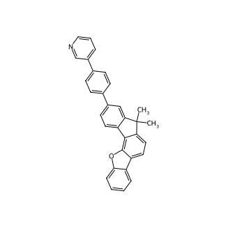 CC1(C)c2cc(-c3ccc(-c4cccnc4)cc3)ccc2-c2c1ccc1c2oc2ccccc21